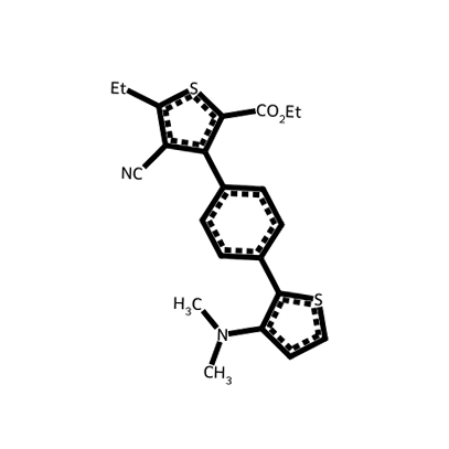 CCOC(=O)c1sc(CC)c(C#N)c1-c1ccc(-c2sccc2N(C)C)cc1